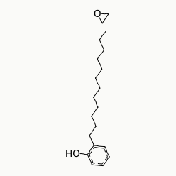 C1CO1.CCCCCCCCCCCCc1ccccc1O